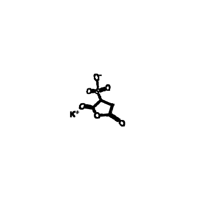 O=C1CC(S(=O)(=O)[O-])C(=O)O1.[K+]